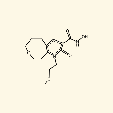 COCCn1c2c(cc(C(=O)NO)c1=O)CCCCCC2